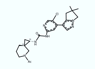 CC(=O)N1CCC[C@]2(C[C@@H]2NC(=O)Nc2cc(-c3cnn4c3CC(C)(C)C4)c(Cl)cn2)C1